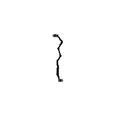 CCCCCCCCC=C[NH]